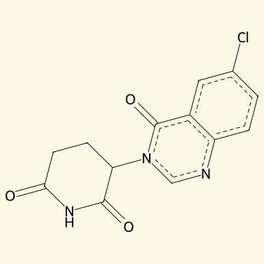 O=C1CCC(n2cnc3ccc(Cl)cc3c2=O)C(=O)N1